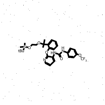 CC(C)(OCCO[Si](C)(C)C(C)(C)C)c1ccccc1Oc1ncccc1NC(=O)Nc1ccc(OC(F)(F)F)cc1